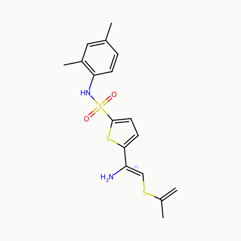 C=C(C)S/C=C(\N)c1ccc(S(=O)(=O)Nc2ccc(C)cc2C)s1